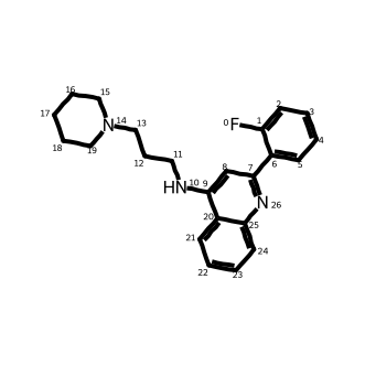 Fc1ccccc1-c1cc(NCCCN2CCCCC2)c2ccccc2n1